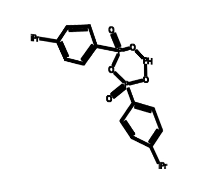 CC(C)c1ccc(P2(=O)OPOP(=O)(c3ccc(C(C)C)cc3)O2)cc1